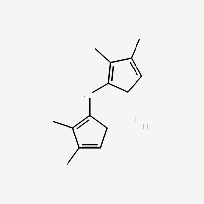 CC1=CC[C]([Zr][C]2=C(C)C(C)=CC2)=C1C.[H-].[H-]